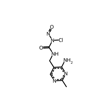 Cc1ncc(CNC(=O)N(Cl)N=O)c(N)n1